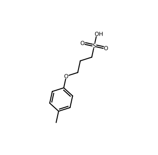 Cc1ccc(OCCCS(=O)(=O)O)cc1